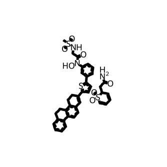 CS(=O)(=O)NCC(=O)N(O)c1cccc(-c2ccc(C3=Cc4ccc5c(c4CC3)CCc3ccccc3-5)s2)c1.NC(=O)CC1C=CC=CS1(=O)=O